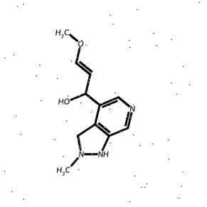 COC=CC(O)c1cncc2c1CN(C)N2